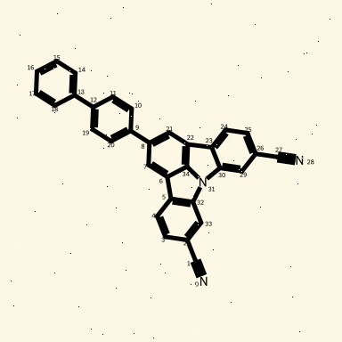 N#Cc1ccc2c3cc(-c4ccc(-c5ccccc5)cc4)cc4c5ccc(C#N)cc5n(c2c1)c34